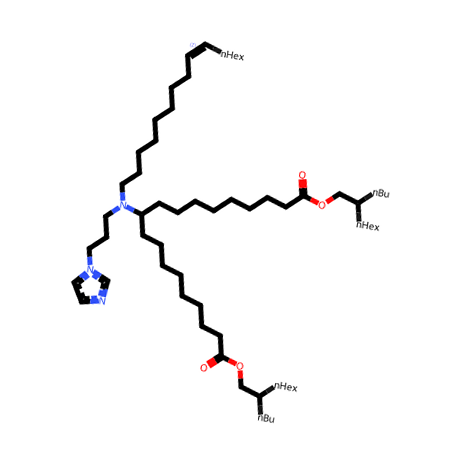 CCCCCC/C=C\CCCCCCCCN(CCCn1ccnc1)C(CCCCCCCCC(=O)OCC(CCCC)CCCCCC)CCCCCCCCC(=O)OCC(CCCC)CCCCCC